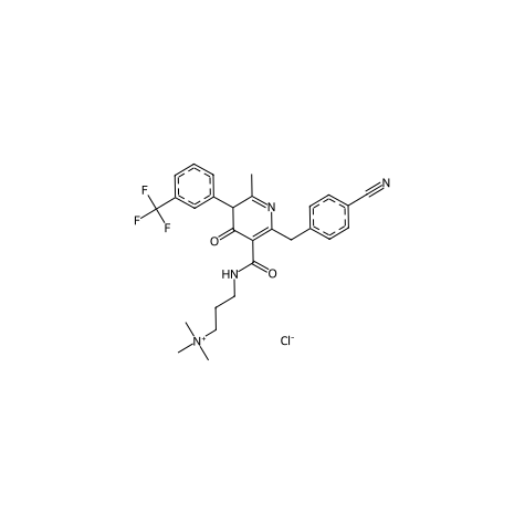 CC1=NC(Cc2ccc(C#N)cc2)=C(C(=O)NCCC[N+](C)(C)C)C(=O)C1c1cccc(C(F)(F)F)c1.[Cl-]